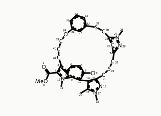 COC(=O)c1c2c3ccc(Cl)c(c3n1C)-c1c(nn(C)c1C)CSCc1cc(n(C)n1)CSc1cccc(c1)OCCC2